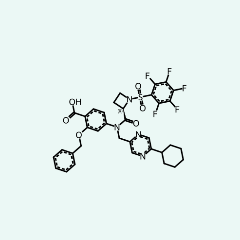 O=C(O)c1ccc(N(Cc2cnc(C3CCCCC3)cn2)C(=O)[C@H]2CCN2S(=O)(=O)c2c(F)c(F)c(F)c(F)c2F)cc1OCc1ccccc1